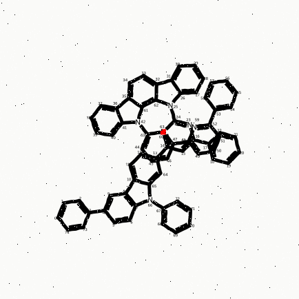 c1ccc(-c2ccc3c(c2)c2ccc(-c4cc(-c5ccccc5)nc(-n5c6ccccc6c6ccc7c8ccccc8n(-c8cccc(-c9cccc(-c%10ccccc%10)n9)n8)c7c65)n4)cc2n3-c2ccccc2)cc1